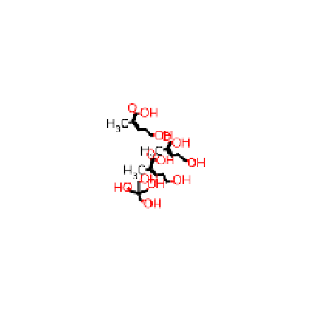 CC(=CCCO)C(=O)O.CC(=CCCO)C(=O)O.CC(=CCCO)C(=O)O.OCC(CO)(CO)CO